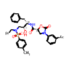 CC(=O)c1cccc(N2C[C@@H](C(=O)N[C@@H](Cc3ccccc3)[C@H](O)CN(CC(C)C)S(=O)(=O)c3ccc(C)cc3)OC2=O)c1